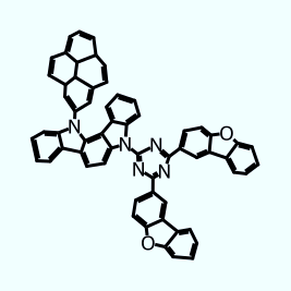 C1=CC2C=CC3=CC(n4c5ccccc5c5ccc6c(c7ccccc7n6-c6nc(-c7ccc8oc9ccccc9c8c7)nc(-c7ccc8oc9ccccc9c8c7)n6)c54)=CC4C=CC(=C1)C2C34